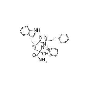 CC(N)(C[C@@H](Cc1c[nH]c2ccccc12)c1nnc(CCc2ccccc2)n1Cc1ccccc1)C(N)=O